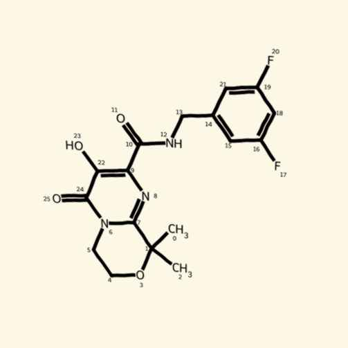 CC1(C)OCCn2c1nc(C(=O)NCc1cc(F)cc(F)c1)c(O)c2=O